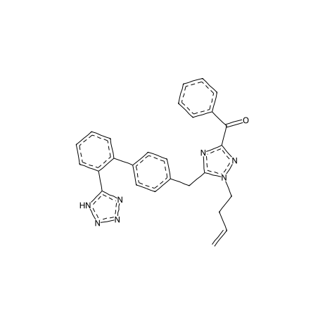 C=CCCn1nc(C(=O)c2ccccc2)nc1Cc1ccc(-c2ccccc2-c2nnn[nH]2)cc1